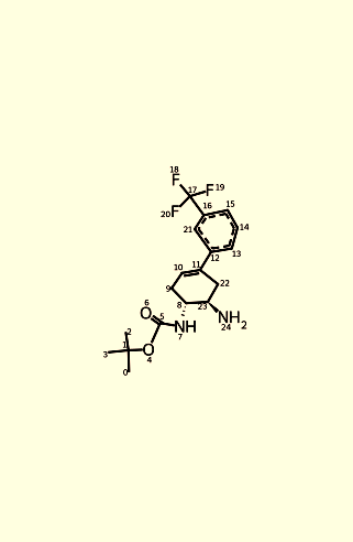 CC(C)(C)OC(=O)N[C@@H]1CC=C(c2cccc(C(F)(F)F)c2)C[C@H]1N